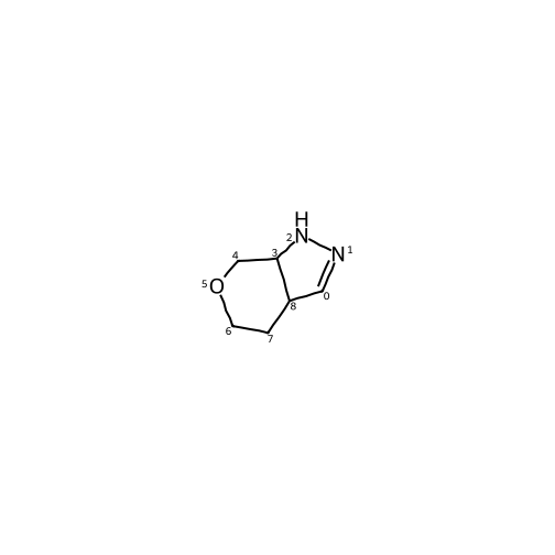 C1=NNC2COCCC12